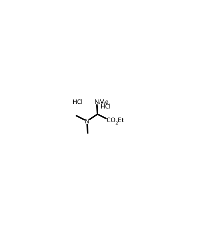 CCOC(=O)C(NC)N(C)C.Cl.Cl